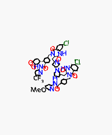 COc1ccc(NC(=O)c2ccc(CN3C(=O)c4ccc(Cl)cc4NC(=O)C3Cc3cccnc3)cc2)nc1.O=C(Nc1ccc(C(F)(F)F)cn1)c1ccc(CN2C(=O)c3ccc(Cl)cc3NC(=O)C2Cc2ccccn2)cc1-c1ccc2c(c1)OCO2